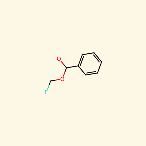 [O]C(OCF)c1ccccc1